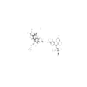 CC#C[C@@]1(O)CCC2C3CCC4=CC(=O)CCC4=C3[C@H](c3ccc(N(C)CCO[C@H]4CC[C@@]5(C)[C@@H](C4)C[C@@H](OC(=O)CCCN)[C@@H]4[C@@H]5C[C@H](O)[C@]5(C)[C@@H]([C@H](C)CCC(=O)O)CC[C@@H]45)cc3)C[C@@]21C